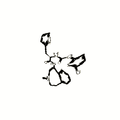 CN1CCc2ccccc2C(NC(=O)[C@@H](Cc2ccco2)NC(=O)Oc2ccc(Cl)s2)C1